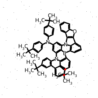 CC(C)(C)c1ccc(N(c2ccc(C(C)(C)C)cc2)c2cc3c4c(c2)-n2c5c(cccc5c5oc6ccccc6c52)B4c2ccc(C(C)(C)C)cc2N3c2ccc(C(C)(C)C)cc2-c2ccccc2)cc1